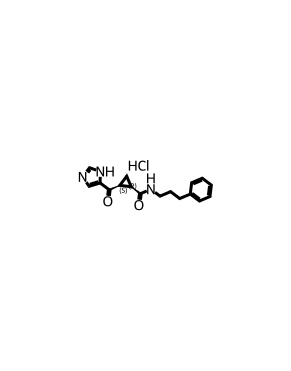 Cl.O=C(c1cnc[nH]1)[C@H]1C[C@H]1C(=O)NCCCc1ccccc1